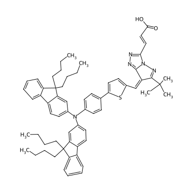 CCCCC1(CCCC)c2ccccc2-c2ccc(N(c3ccc(-c4ccc(/C=c5/c(C(C)(C)C)nn6c(/C=C/C(=O)O)nnc56)s4)cc3)c3ccc4c(c3)C(CCCC)(CCCC)c3ccccc3-4)cc21